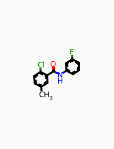 Cc1ccc(Cl)c(C(=O)Nc2cccc(F)c2)c1